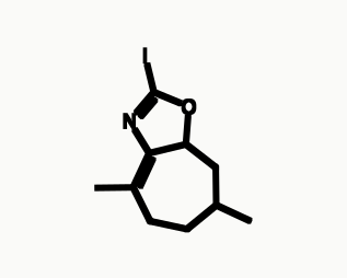 CC1=C2N=C(I)OC2CC(C)CC1